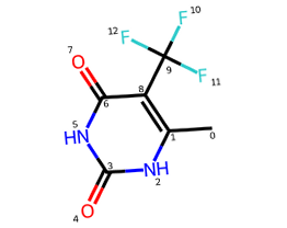 Cc1[nH]c(=O)[nH]c(=O)c1C(F)(F)F